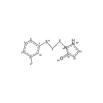 Cc1cccc(SCCn2[nH]ccc2=O)c1